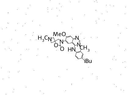 CCC(C)c1ccc(Nc2ncnc3cc(OC)c(N4CC5(CN(C)C5)OC4=O)cc23)c(C)c1